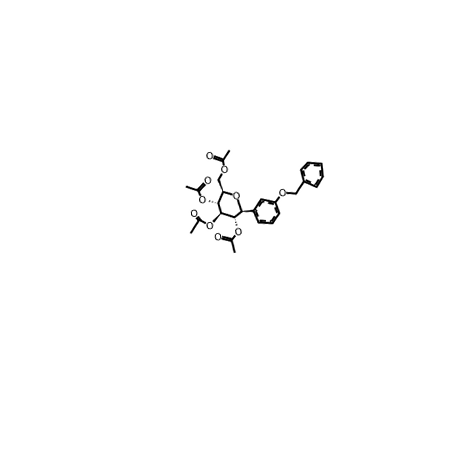 CC(=O)OC[C@H]1O[C@@H](c2cccc(OCc3ccccc3)c2)[C@H](OC(C)=O)[C@@H](OC(C)=O)[C@@H]1OC(C)=O